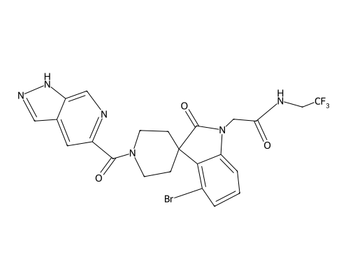 O=C(CN1C(=O)C2(CCN(C(=O)c3cc4cn[nH]c4cn3)CC2)c2c(Br)cccc21)NCC(F)(F)F